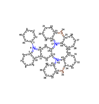 c1ccc(-n2c3ccccc3c3cc4c(cc32)n2c3ccccc3sc3cccc(c5cccc6sc7ccccc7n4c65)c32)cc1